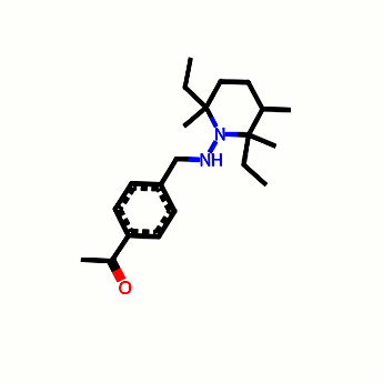 CCC1(C)CCC(C)C(C)(CC)N1NCc1ccc(C(C)=O)cc1